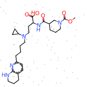 COC(=O)N1CCCC(C(=O)NC(CCN(CCCCc2ccc3c(n2)NCCC3)C2CC2)C(=O)O)C1